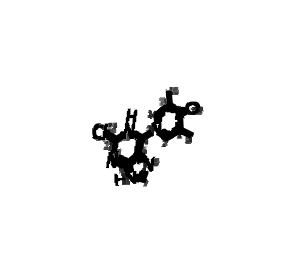 Cc1cn(C2=c3nc[nH]c3=NC(Cl)N2)cc(C)c1=O